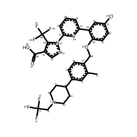 Cc1cc(C2CCN(CC(F)(F)F)CC2)ccc1COc1ccc(Cl)cc1-c1cccc(-n2ncc(C(=O)O)c2C(F)(F)F)n1